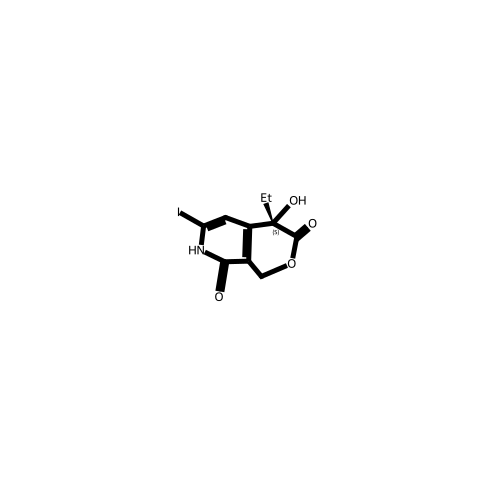 CC[C@@]1(O)C(=O)OCc2c1cc(I)[nH]c2=O